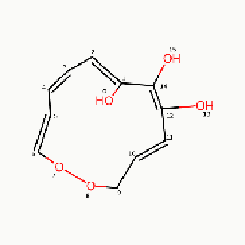 OC1=C\C=C/C=C/OOC/C=C/C(O)=C\1O